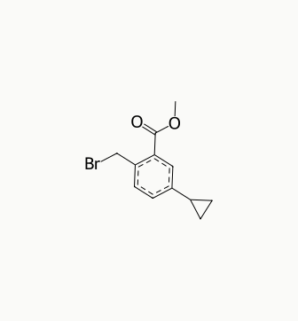 COC(=O)c1cc(C2CC2)ccc1CBr